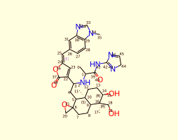 CC(NC(CC1C2(CCC3[C@]1(C)CC[C@@H](O)[C@@]3(C)CO)CO2)C1=C/C(=C\c2ccc3c(c2)ncn3C)OC1=O)C(=O)NC1=NCC=N1